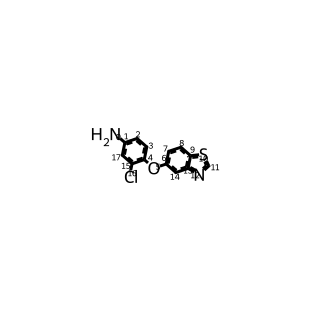 Nc1ccc(Oc2ccc3scnc3c2)c(Cl)c1